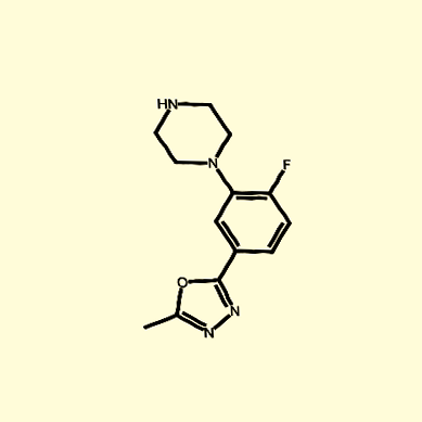 Cc1nnc(-c2ccc(F)c(N3CCNCC3)c2)o1